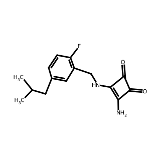 CC(C)Cc1ccc(F)c(CNc2c(N)c(=O)c2=O)c1